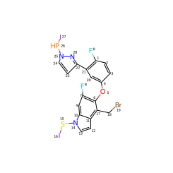 Fc1ccc(Oc2c(F)cc3c(ccn3SI)c2CBr)cc1-c1ccn(PI)n1